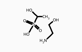 CC(O)S(=O)(=O)O.NCCO